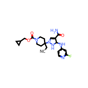 N#CCC1(N2C=C(C(N)=O)C(Nc3ccnc(F)c3)N2)CCN(C(=O)OCC2CC2)CC1